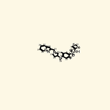 Cc1cc(S(=O)(=O)Nc2cscn2)c(F)cc1N(C)C1CCN(Cc2cc3ccccn3n2)C1